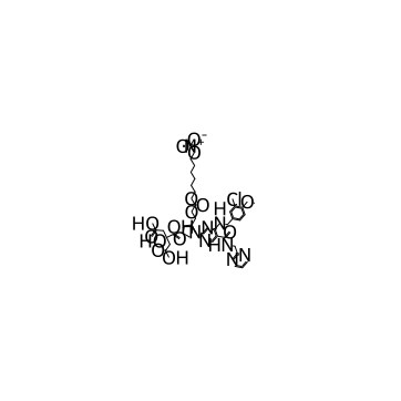 COc1ccc(CNc2nc(N3CCCC3COC(=O)OCCCCCCO[N+](=O)[O-])ncc2C(=O)NCc2ncccn2)cc1Cl.O=C(O)CC(O)(CC(=O)O)C(=O)O